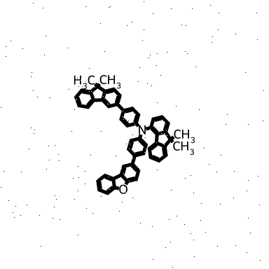 CC1(C)c2ccccc2-c2cc(-c3ccc(N(c4ccc(-c5ccc6oc7ccccc7c6c5)cc4)c4cccc5c4-c4ccccc4C5(C)C)cc3)ccc21